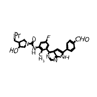 Cc1c(NC(=O)N2CC(O)C(CC(C)C)C2)cc(F)cc1-c1ncnc2[nH]c(-c3ccc(C=O)cc3)cc12